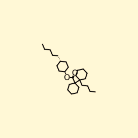 CCCCC[C@H]1CC[C@H](OC(=O)C2(C3(CCCC)CCCCC3)CCCCC2)CC1